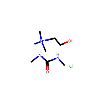 CNC(=O)NC.C[N+](C)(C)CCO.[Cl-]